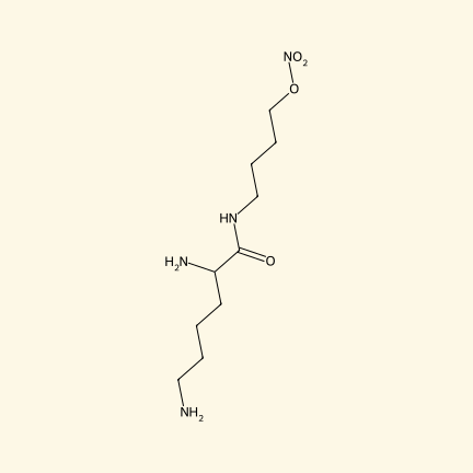 NCCCCC(N)C(=O)NCCCCO[N+](=O)[O-]